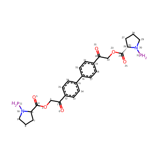 O=C(COC(=O)C1CCCN1P)c1ccc(-c2ccc(C(=O)COC(=O)[C@@H]3CCCN3P)cc2)cc1